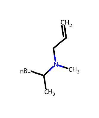 C=CCN(C)C(C)CCCC